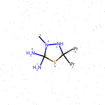 CC(C)C1(C(C)C)NN(C)C(N)(N)S1